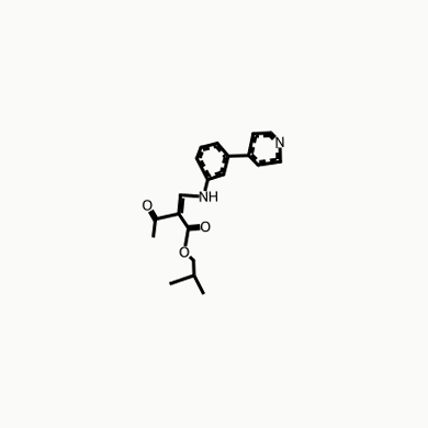 CC(=O)/C(=C/Nc1cccc(-c2ccncc2)c1)C(=O)OCC(C)C